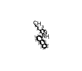 CCCCc1ccnc(Nc2cccc3cc4ccccc4cc23)c1